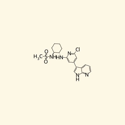 CS(=O)(=O)N[C@H]1CCCC[C@@H]1Nc1cc(-c2c[nH]c3ncccc23)cc(Cl)n1